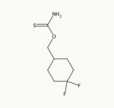 NC(=S)OCC1CCC(F)(F)CC1